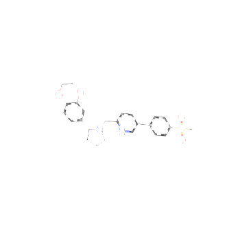 CS(=O)(=O)c1ccc(-c2ccc(CN3CCC[C@H]3c3ccc4c(c3)OCCO4)nc2)cc1